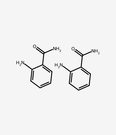 NC(=O)c1ccccc1N.NC(=O)c1ccccc1N